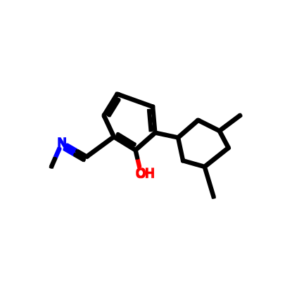 C/N=C/c1cccc(C2CC(C)CC(C)C2)c1O